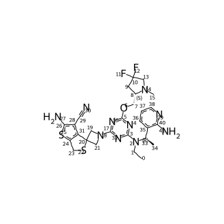 CCN(c1nc(OC[C@@H]2CC(F)(F)CN2C)nc(N2CC3(C2)SCc2sc(N)c(C#N)c23)n1)[C@H](C)c1cccnc1N